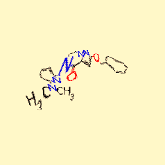 CN(C)c1cccc(N2CCn3nc(OCc4ccccc4)cc3C2=O)n1